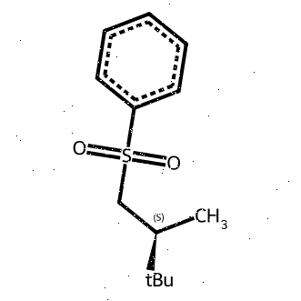 C[C@H](CS(=O)(=O)c1ccccc1)C(C)(C)C